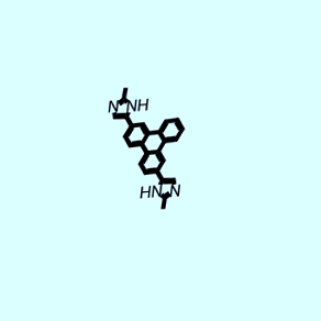 Cc1ncc(-c2ccc3c4ccc(-c5cnc(C)[nH]5)cc4c4ccccc4c3c2)[nH]1